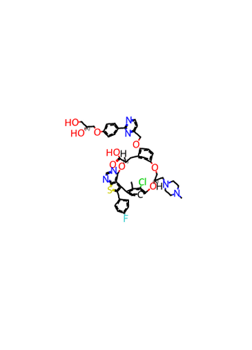 Cc1c2ccc(c1Cl)O[C@H](CN1CCN(C)CC1)COc1ccc(OCc3ccnc(-c4ccc(OC[C@H](O)CO)cc4)n3)c(c1)C[C@@H](C(=O)O)Oc1ncnc3sc(-c4ccc(F)cc4)c-2c13